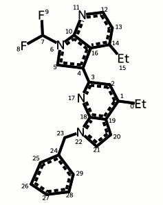 CCc1cc(-c2cn(C(F)F)c3nccc(CC)c23)nc2c1ccn2Cc1ccccc1